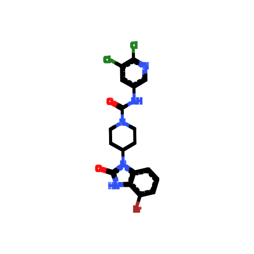 O=C(Nc1cnc(Cl)c(Cl)c1)N1CCC(n2c(=O)[nH]c3c(Br)cccc32)CC1